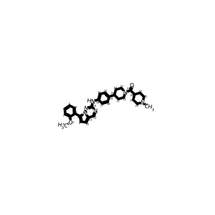 COc1ccccc1-c1ccc2cnc(Nc3ccc(C4CCN(C(=O)C5CCN(C)CC5)CC4)cc3)nn12